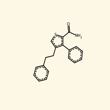 NC(=O)c1scc(CCc2ccccc2)c1-c1ccccc1